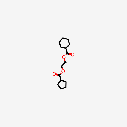 O=C(O[CH]COC(=O)C1CCCC1)C1CCCCC1